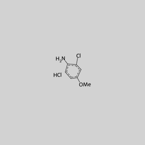 COc1ccc(N)c(Cl)c1.Cl